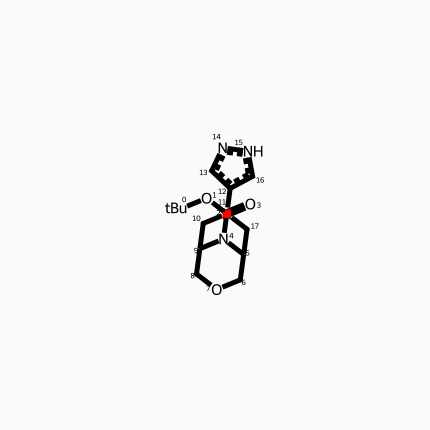 CC(C)(C)OC(=O)N1C2COCC1CN(c1cn[nH]c1)C2